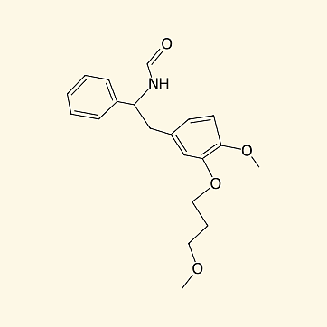 COCCCOc1cc(CC(NC=O)c2ccccc2)ccc1OC